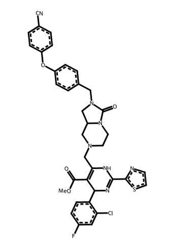 COC(=O)C1=C(CN2CCN3C(=O)N(Cc4ccc(Oc5ccc(C#N)cc5)cc4)CC3C2)NC(c2nccs2)=NC1c1ccc(F)cc1Cl